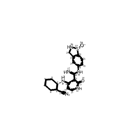 N#CC1CCCC[C@@H]1Nc1cc[nH]c(=O)c1C(=N)Nc1ccc2c(c1)CN[S+]2[O-]